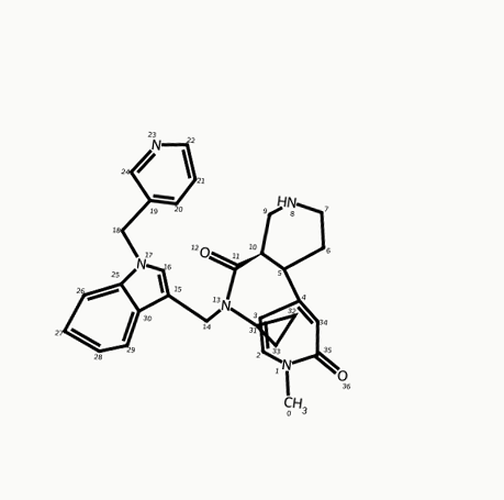 Cn1ccc(C2CCNC[C@@H]2C(=O)N(Cc2cn(Cc3cccnc3)c3ccccc23)C2CC2)cc1=O